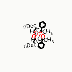 CC(C)(OOC(C)(C)c1ccccc1)c1ccccc1.CCCCCCCCCCCCOOCCCCCCCCCCCC